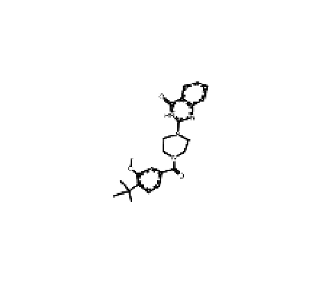 COc1cc(C(=O)N2CCN(c3nc4ccccc4c(=O)[nH]3)CC2)ccc1C(C)(C)C